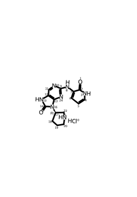 Cl.O=c1[nH]cccc1Nc1ncc2[nH]c(=O)n([C@@H]3CCCNC3)c2n1